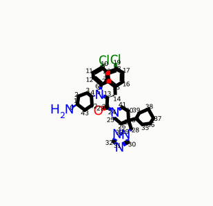 N[C@H]1CC[C@H](N(c2ccc(Cl)cc2)[C@H](Cc2ccc(Cl)cc2)C(=O)N2CCC(Cn3cncn3)(C3CCCCC3)CC2)CC1